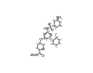 CNC(=O)c1ccc(Oc2cc(-c3ccccc3C)nc(NS(=O)(=O)c3cccc(N)c3)n2)cn1